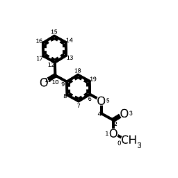 COC(=O)COc1ccc(C(=O)c2ccccc2)cc1